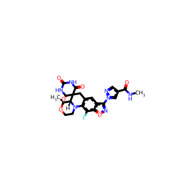 CNC(=O)c1cnn(-c2noc3c(F)c4c(cc23)CC2(C(=O)NC(=O)NC2=O)[C@H]2[C@H](C)OCCN42)c1